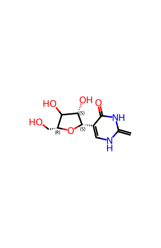 C=C1NC=C([C@@H]2O[C@H](CO)C(O)[C@@H]2O)C(=O)N1